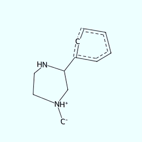 [CH2-][NH+]1CCNC(c2ccccc2)C1